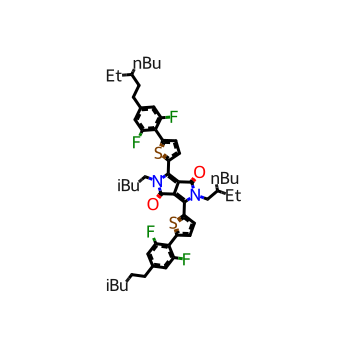 CCCCC(CC)CCc1cc(F)c(-c2ccc(C3=C4C(=O)N(CC(CC)CCCC)C(c5ccc(-c6c(F)cc(CCC(C)CC)cc6F)s5)=C4C(=O)N3CC(C)CC)s2)c(F)c1